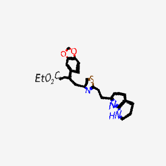 CCOC(=O)CC(Cc1csc(CCc2ccc3c(n2)NCCC3)n1)c1ccc2c(c1)OCO2